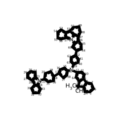 CC1(C)c2ccccc2-c2ccc(N(c3ccc(-c4ccc(-n5c6ccccc6c6ccccc65)cc4)cc3)c3ccc(-c4ccc5c6cccc7c8ccccc8n(c5c4)c76)cc3)cc21